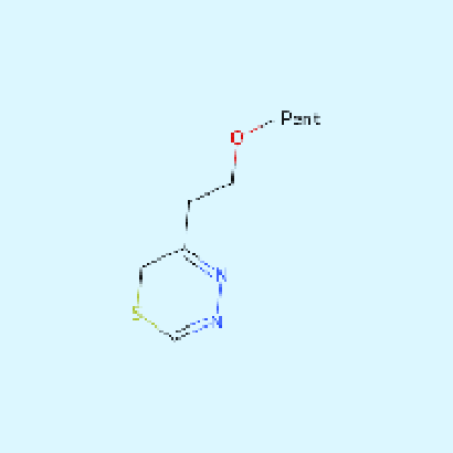 CCCC(C)OCCC1=NN=CSC1